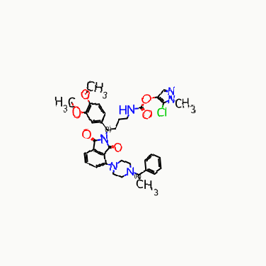 COc1ccc([C@@H](CCCNC(=O)Oc2cnn(C)c2Cl)N2C(=O)c3cccc(N4CCN([C@H](C)c5ccccc5)CC4)c3C2=O)cc1OC